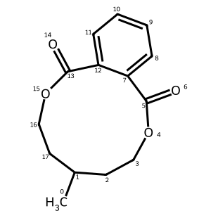 CC1CCOC(=O)c2ccccc2C(=O)OCC1